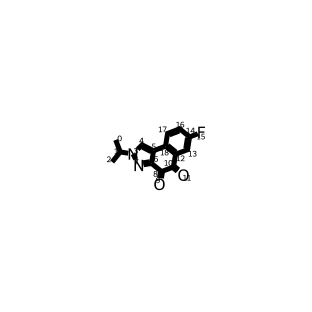 CC(C)n1cc2c(n1)C(=O)C(=O)c1cc(F)ccc1-2